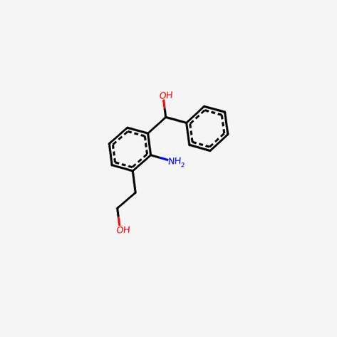 Nc1c(CCO)cccc1C(O)c1ccccc1